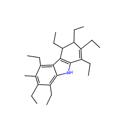 CCC1=C(CC)C(CC)C(CC)c2c1[nH]c1c(CC)c(CC)c(C)c(CC)c21